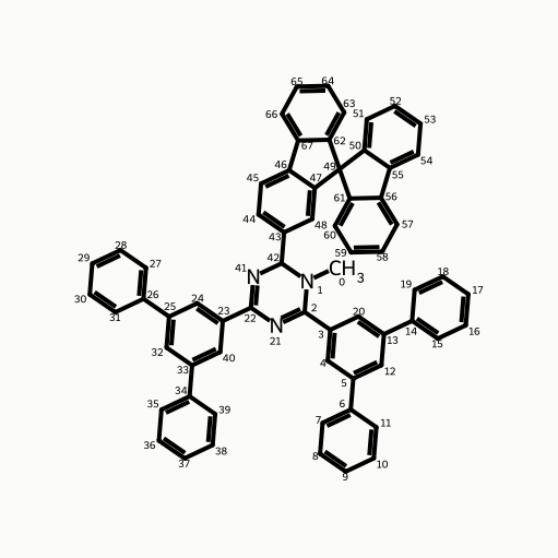 CN1C(c2cc(-c3ccccc3)cc(-c3ccccc3)c2)=NC(c2cc(-c3ccccc3)cc(-c3ccccc3)c2)=NC1c1ccc2c(c1)C1(c3ccccc3-c3ccccc31)c1ccccc1-2